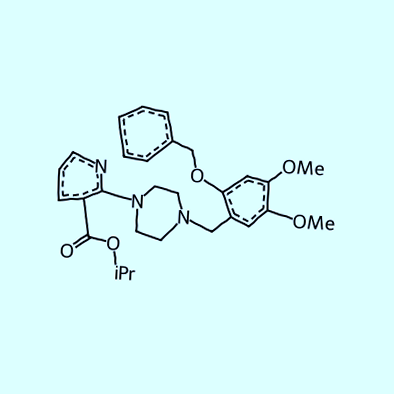 COc1cc(CN2CCN(c3ncccc3C(=O)OC(C)C)CC2)c(OCc2ccccc2)cc1OC